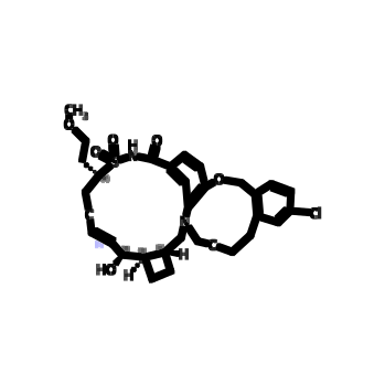 COCC[C@H]1CC/C=C/[C@H](O)[C@@H]2CC[C@H]2CN2CCCCc3cc(Cl)ccc3COc3ccc(cc32)C(=O)NS1(=O)=O